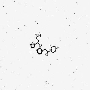 CNCCC(Oc1ccccc1CC(=O)N1CCN(C)CC1)c1cccs1